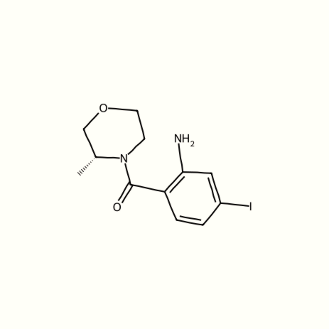 C[C@@H]1COCCN1C(=O)c1ccc(I)cc1N